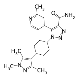 Cc1cc(-c2c(C(N)=O)nnn2C2CCC(c3c(C)nn(C)c3C)CC2)ccn1